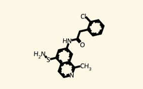 Cc1nccc2c(SN)cc(NC(=O)Cc3ccccc3Cl)cc12